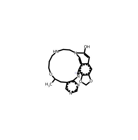 CC1Cc2cncnc2/N=c2\c3c(cc4c2=CN(CCNCCCO1)C(O)=C4)OCO3